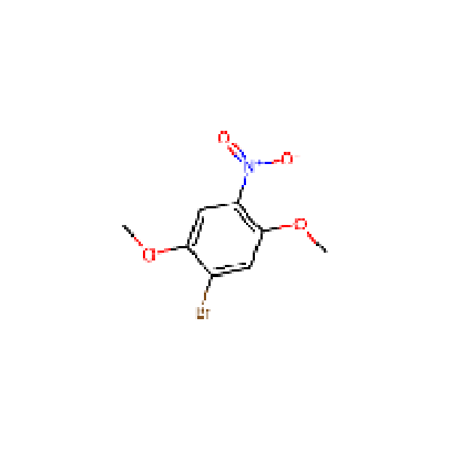 COc1cc([N+](=O)[O-])c(OC)cc1Br